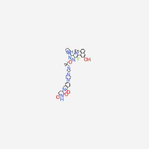 CCc1cccc2cc(O)cc(-c3ncc4c(N5CC6CCC(C5)N6)nc(OCC5(CN6CC(N7CCN(c8ccc9c(c8)CN([C@H]8CCC(=O)NC8=O)C9=O)CC7)C6)CC5)nc4c3F)c12